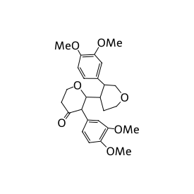 COc1ccc(C2COCCC2C2OCCC(=O)C2c2ccc(OC)c(OC)c2)cc1OC